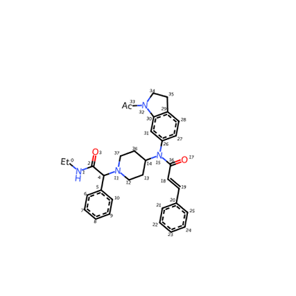 CCNC(=O)C(c1ccccc1)N1CCC(N(C(=O)C=Cc2ccccc2)c2ccc3c(c2)N(C(C)=O)CC3)CC1